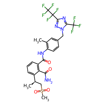 Cc1cc(Cn2nc(C(F)(F)C(F)(F)F)nc2C(F)(F)F)ccc1NC(=O)c1cccc([C@H](C)CS(C)(=O)=O)c1C(N)=O